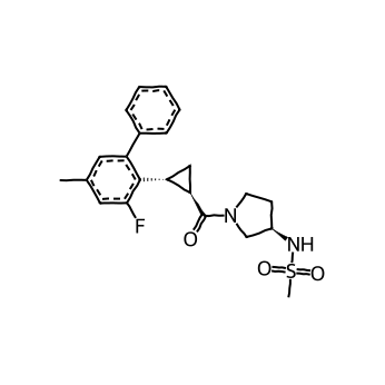 Cc1cc(F)c([C@@H]2C[C@H]2C(=O)N2CC[C@@H](NS(C)(=O)=O)C2)c(-c2ccccc2)c1